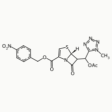 CC(=O)OC(c1nnnn1C)C1C(=O)N2C(C(=O)OCc3ccc([N+](=O)[O-])cc3)=CS[C@H]12